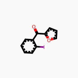 O=C(c1ccco1)c1ccccc1I